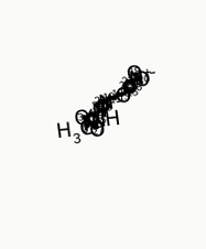 Cn1c(=O)cc(N2CCN(CCCOc3ccc([N+](=O)[O-])cc3)CC2)[nH]c1=O